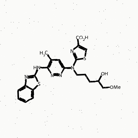 COCC(O)CCCN(c1cc(C)c(Nc2nc3ccccc3s2)nn1)c1nc(C(=O)O)cs1